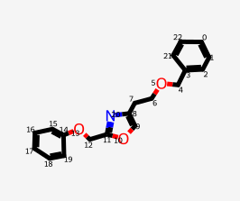 c1ccc(COCCc2coc(COc3ccccc3)n2)cc1